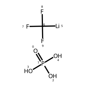 O=P(O)(O)O.[Li][C](F)(F)F